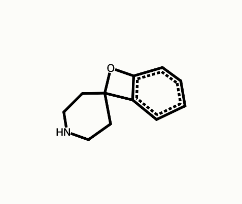 c1ccc2c(c1)OC21CCNCC1